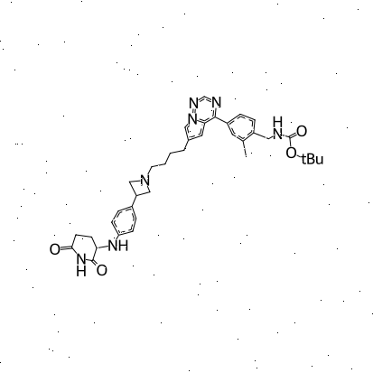 Cc1cc(-c2ncnn3cc(CCCCN4CC(c5ccc(NC6CCC(=O)NC6=O)cc5)C4)cc23)ccc1CNC(=O)OC(C)(C)C